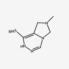 CSC1=C2CN(C)CN2C=NN1